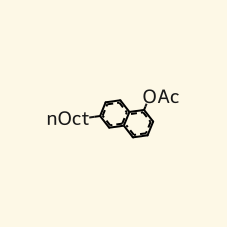 CCCCCCCCc1ccc2c(OC(C)=O)cccc2c1